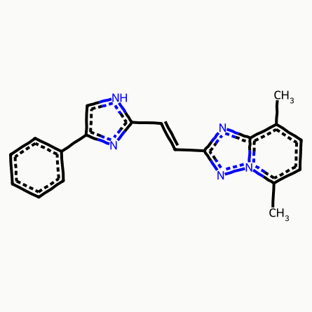 Cc1ccc(C)n2nc(C=Cc3nc(-c4ccccc4)c[nH]3)nc12